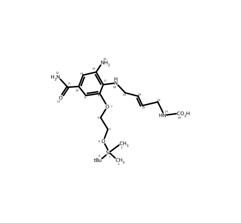 CC(C)(C)[Si](C)(C)OCCOc1cc(C(N)=O)cc(N)c1NCC=CCNC(=O)O